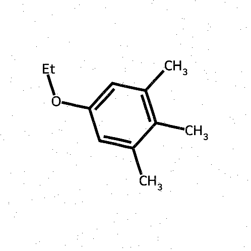 [CH2]COc1cc(C)c(C)c(C)c1